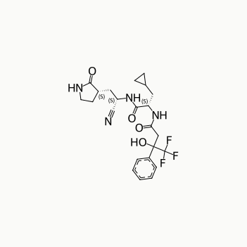 N#C[C@H](C[C@@H]1CCNC1=O)NC(=O)[C@H](CC1CC1)NC(=O)CC(O)(c1ccccc1)C(F)(F)F